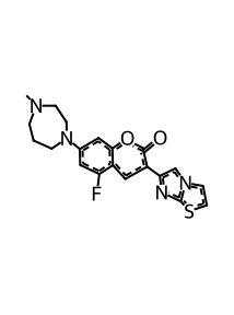 CN1CCCN(c2cc(F)c3cc(-c4cn5ccsc5n4)c(=O)oc3c2)CC1